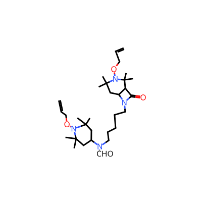 C=CCON1C(C)(C)CC(N(C=O)CCCCCN2C(=O)C3C2CC(C)(C)N(OCC=C)C3(C)C)CC1(C)C